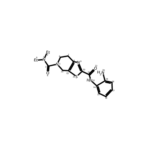 CCN(CC)C(=O)N1CCc2nc(C(=O)Nc3ccccc3N)sc2C1